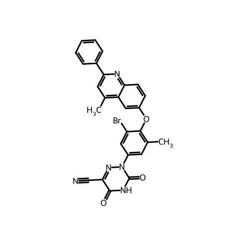 Cc1cc(-n2nc(C#N)c(=O)[nH]c2=O)cc(Br)c1Oc1ccc2nc(-c3ccccc3)cc(C)c2c1